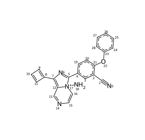 N#Cc1cc(C2=NC(C3=CC=C3)=C3C=NC=C[N+]23N)ccc1Oc1ccccc1